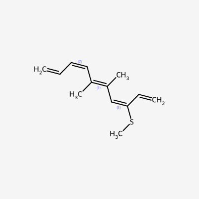 C=C\C=C/C(C)=C(C)/C=C(\C=C)SC